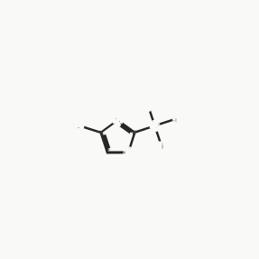 CC(C)[Si](c1nc(Br)co1)(C(C)C)C(C)C